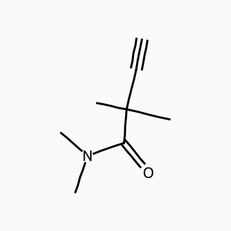 C#CC(C)(C)C(=O)N(C)C